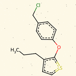 CCCc1ccsc1Oc1ccc(CCl)cc1